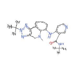 [2H]C([2H])([2H])NC(=O)c1cnccc1Nc1cccc2c1N(C)Cc1nn(C([2H])([2H])[2H])nc1-2